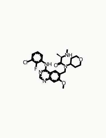 CN[C@H](C)C(=O)N(Cc1cc2c(Nc3cccc(Cl)c3F)ncnc2cc1OC)C1CCOCC1